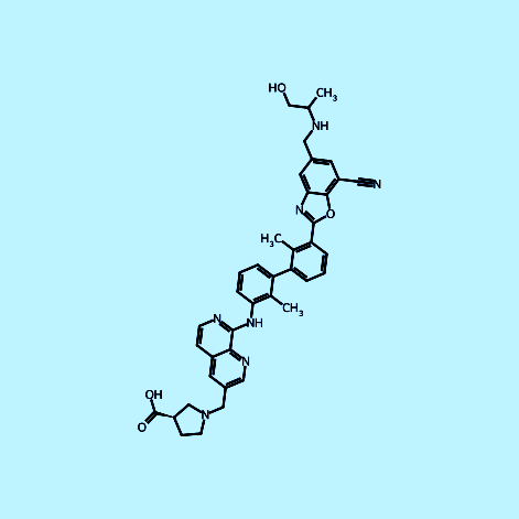 Cc1c(Nc2nccc3cc(CN4CC[C@@H](C(=O)O)C4)cnc23)cccc1-c1cccc(-c2nc3cc(CNC(C)CO)cc(C#N)c3o2)c1C